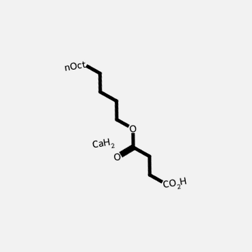 CCCCCCCCCCCCOC(=O)CCC(=O)O.[CaH2]